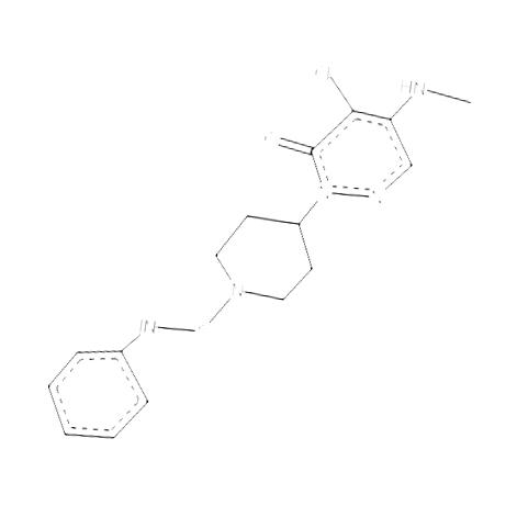 CNc1cnn(C2CCN(SNc3ccccc3)CC2)c(=O)c1Cl